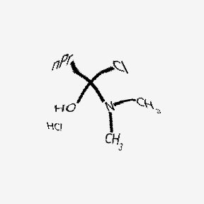 CCCC(O)(Cl)N(C)C.Cl